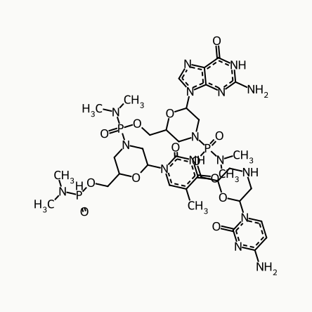 Cc1cn(C2CN(P(=O)(OCC3CN(P(=O)(OCC4CNCC(n5ccc(N)nc5=O)O4)N(C)C)CC(n4cnc5c(=O)[nH]c(N)nc54)O3)N(C)C)CC(CO[PH](=O)N(C)C)O2)c(=O)[nH]c1=O